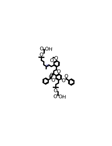 C/C(=C\Cc1c(C2CC(=O)c3c(cc(OC(=O)c4ccccc4)c(CCC(C)(C)OCC(=O)O)c3OC(=O)c3ccccc3)O2)ccc2c1OCO2)CCCC(C)(C)OCC(=O)O